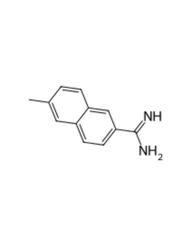 Cc1ccc2cc(C(=N)N)ccc2c1